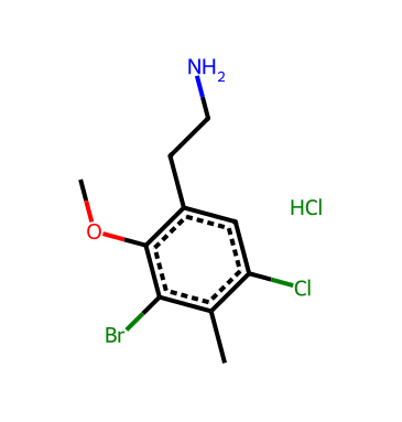 COc1c(CCN)cc(Cl)c(C)c1Br.Cl